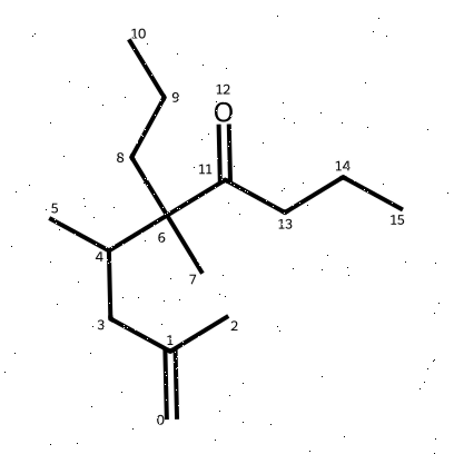 C=C(C)CC(C)C(C)(CCC)C(=O)CCC